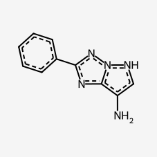 Nc1c[nH]n2nc(-c3ccccc3)nc12